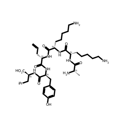 C=CC[C@H](NC(=O)[C@H](CCCCCN)NC(=O)[C@H](CCCCCN)NC(=O)[C@H](C)N)C(=O)N[C@@H](Cc1ccc(O)cc1)C(=O)N[C@@H](CC(C)C)C(=O)O